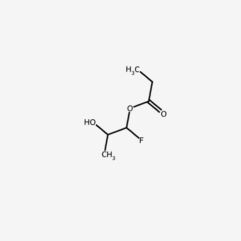 CCC(=O)OC(F)C(C)O